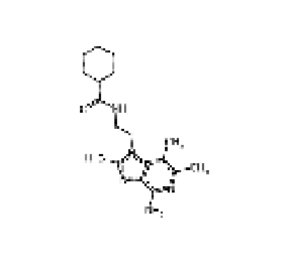 Cc1nc(N)c2nc(C)n(CCNC(=O)C3CCCCC3)c2c1C